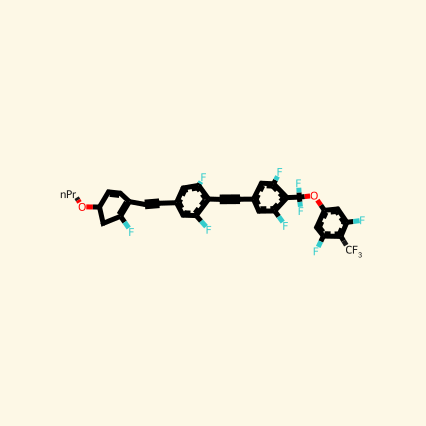 CCCOC1C=CC(C#Cc2cc(F)c(C#Cc3cc(F)c(C(F)(F)Oc4cc(F)c(C(F)(F)F)c(F)c4)c(F)c3)c(F)c2)=C(F)C1